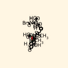 COc1c(Cc2cccc(NC(=O)[C@H](CCC(=O)O)NC(=O)CNC(=O)CBr)c2)csc1[C@@H]1O[C@@H]2C[C@H]3[C@@H]4CCC5=CC(=O)C=C[C@]5(C)[C@H]4[C@@H](O)C[C@]3(C)[C@]2(C(=O)COP(=O)(O)O)O1